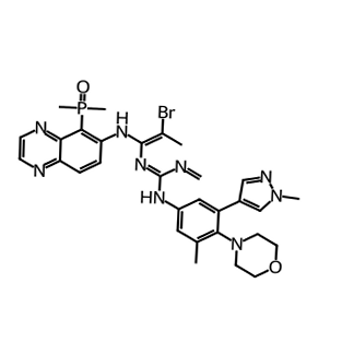 C=N/C(=N\C(Nc1ccc2nccnc2c1P(C)(C)=O)=C(/C)Br)Nc1cc(C)c(N2CCOCC2)c(-c2cnn(C)c2)c1